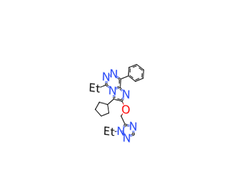 CCc1nnc(-c2ccccc2)c2nc(OCc3ncnn3CC)c(C3CCCC3)n12